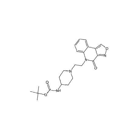 CC(C)(C)OC(=O)NC1CCN(CCn2c(=O)c3nocc3c3ccccc32)CC1